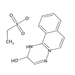 CCS(=O)(=O)[O-].OC1C=N[n+]2ccc3ccccc3c2N1